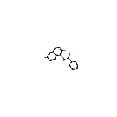 O=C1c2c(ccc3cc(Cl)ccc23)OCC1c1ccccc1